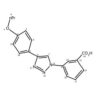 CCCOc1ccc(-c2cn(-c3cccc(C(=O)O)c3)nn2)cc1